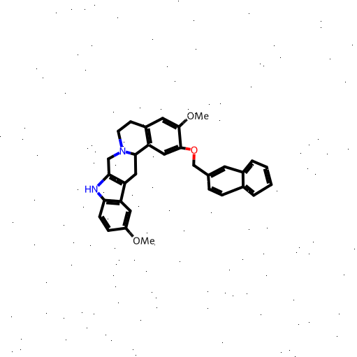 COc1ccc2[nH]c3c(c2c1)CC1c2cc(OCc4ccc5ccccc5c4)c(OC)cc2CCN1C3